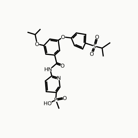 CC(C)Oc1cc(Oc2ccc(S(=O)(=O)C(C)C)cc2)cc(C(=O)Nc2ccc(P(C)(=O)O)cn2)c1